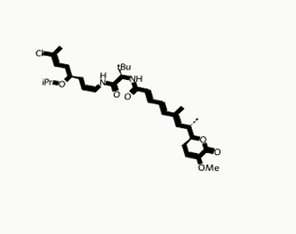 COC1=CC[C@@H]([C@@H](C)/C=C(C)/C=C/C=C/C(=O)N[C@H](C(=O)N/C=C\C[C@H](C/C=C(\C)Cl)OC(C)C)C(C)(C)C)OC1=O